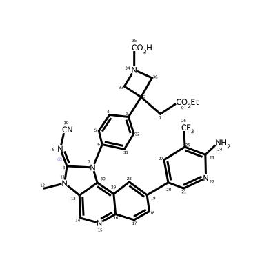 CCOC(=O)CC1(c2ccc(-n3/c(=N\C#N)n(C)c4cnc5ccc(-c6cnc(N)c(C(F)(F)F)c6)cc5c43)cc2)CN(C(=O)O)C1